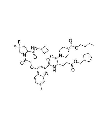 CCCCOC(=O)N1CCN(C(=O)C(CCC(=O)OCC2CCCC2)NC(=O)c2cc(OCC(=O)N3CC(F)(F)CC3C(=O)NC3CCC3)c3ccc(C)cc3n2)CC1